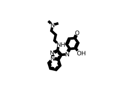 CN(C)CCCNc1nn2ccccc2c1/N=C1\C=CC(=O)C=C1O